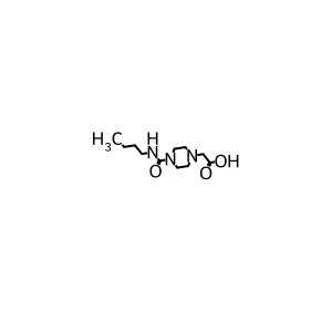 CCCCNC(=O)N1CCN(CC(=O)O)CC1